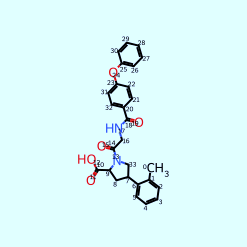 Cc1ccccc1C1CC(C(=O)O)N(C(=O)CNC(=O)c2ccc(Oc3ccccc3)cc2)C1